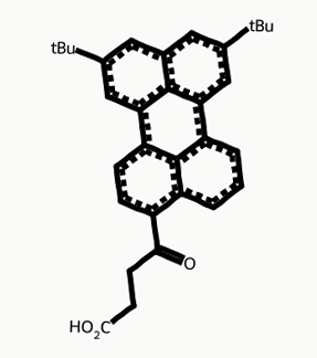 CC(C)(C)c1cc2cc(C(C)(C)C)cc3c4ccc(C(=O)CCC(=O)O)c5cccc(c(c1)c23)c54